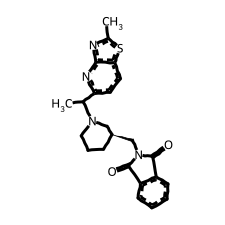 Cc1nc2nc(C(C)N3CCC[C@H](CN4C(=O)c5ccccc5C4=O)C3)ccc2s1